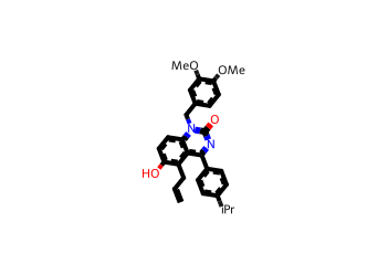 C=CCc1c(O)ccc2c1c(-c1ccc(C(C)C)cc1)nc(=O)n2Cc1ccc(OC)c(OC)c1